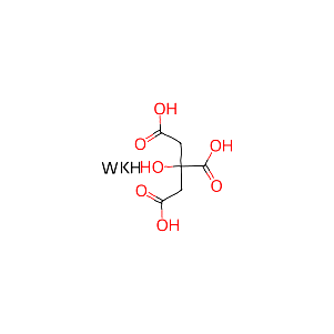 O=C(O)CC(O)(CC(=O)O)C(=O)O.[KH].[W]